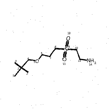 CC(C)(C)COCCCS(=O)(=O)CCN